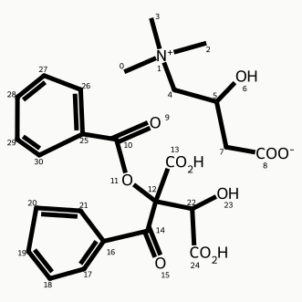 C[N+](C)(C)CC(O)CC(=O)[O-].O=C(OC(C(=O)O)(C(=O)c1ccccc1)C(O)C(=O)O)c1ccccc1